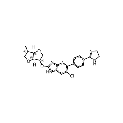 C[C@@H]1CO[C@H]2[C@@H]1OC[C@H]2Oc1nc2nc(-c3ccc(C4=NCCN4)cc3)c(Cl)cc2[nH]1